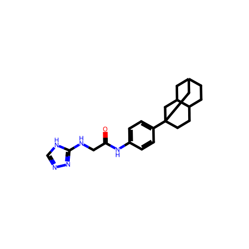 O=C(CNc1nnc[nH]1)Nc1ccc(C23CCC4CCC(CC4C2)C3)cc1